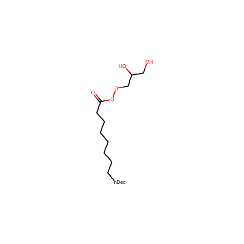 CCCCCCCCCCCCCCCCCC(=O)OOCC(O)CO